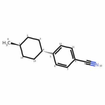 C[C@H]1CC[C@H](c2ccc(C#N)cc2)CC1